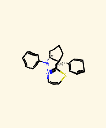 c1ccc(N[C@@H]2CCC[C@@]2(c2ccccc2)c2nccs2)cc1